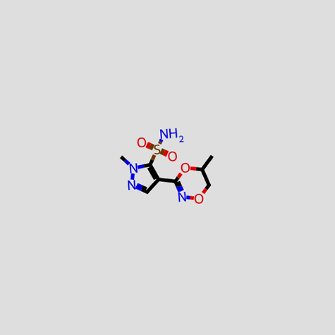 CC1CON=C(c2cnn(C)c2S(N)(=O)=O)O1